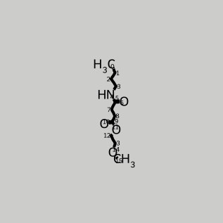 CCCCNC(=O)CCC(=O)OCCOC